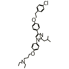 CCN(CC)CCCOc1ccc(-n2cc(-c3ccc(OCCc4ccc(Cl)cc4)cc3)nc2CC(C)C)cc1